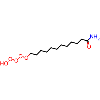 NC(=O)CCCCCCCCCCCOOOOO